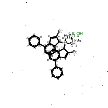 CCC1=Cc2c(-c3ccccc3)cccc2[CH]1[Hf]([CH3])([SiH3])[CH]1C(CC)=Cc2c(-c3ccccc3)cccc21.CCCCCC.Cl.Cl